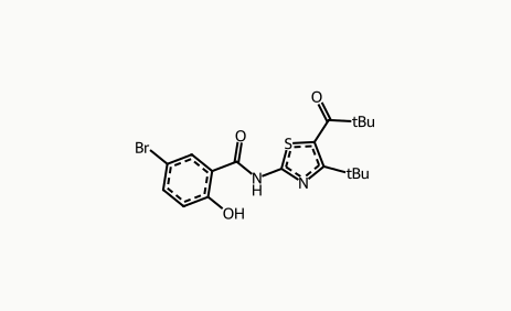 CC(C)(C)C(=O)c1sc(NC(=O)c2cc(Br)ccc2O)nc1C(C)(C)C